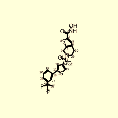 O=C(NO)c1cc2c(s1)CN(S(=O)(=O)c1csc(-c3cccc(C(F)(F)F)c3)c1)CC2